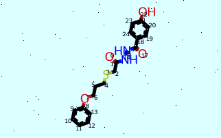 O=C(CSCCCOc1ccccc1)NNC(=O)c1ccc(O)cc1